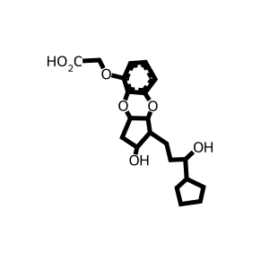 O=C(O)COc1cccc2c1OC1CC(O)C(CCC(O)C3CCCC3)C1O2